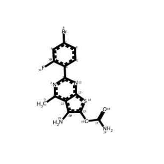 Cc1nc(-c2ccc(Br)cc2F)nc2sc(OC(N)=O)c(N)c12